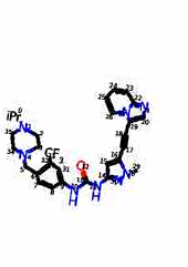 CC(C)N1CCN(Cc2ccc(NC(=O)Nc3cc(C#Cc4cnc5ccccn45)n(C)n3)cc2C(F)(F)F)CC1